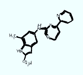 Cc1cc(Nc2nccc(-c3ccccn3)n2)cc2cc(C(=O)O)[nH]c12